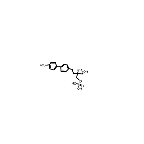 CCCCc1ccc(-c2ccc(CCC(N)(CO)COP(=O)(O)O)cc2)cc1